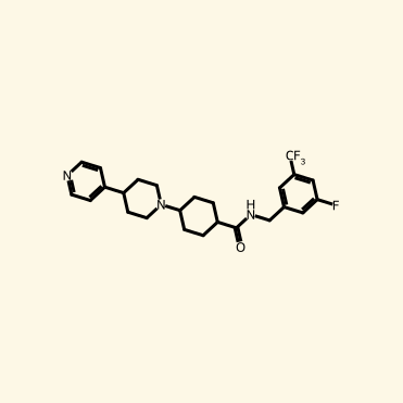 O=C(NCc1cc(F)cc(C(F)(F)F)c1)C1CCC(N2CCC(c3ccncc3)CC2)CC1